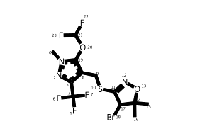 Cn1nc(C(F)(F)F)c(CSC2=NOC(C)(C)C2Br)c1OC(F)F